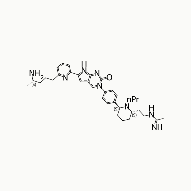 CCCN1[C@H](CCNC(C)=N)CCC[C@H]1c1ccc(-n2cc3cc(-c4cccc(CCC[C@H](C)N)n4)[nH]c3nc2=O)cc1